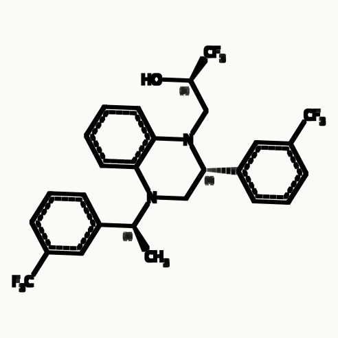 C[C@@H](c1cccc(C(F)(F)F)c1)N1C[C@@H](c2cccc(C(F)(F)F)c2)N(C[C@@H](O)C(F)(F)F)c2ccccc21